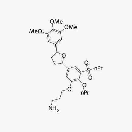 CCCOc1c(OCCCN)cc([C@@H]2CC[C@@H](c3cc(OC)c(OC)c(OC)c3)O2)cc1S(=O)(=O)CCC